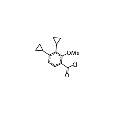 COc1c(C(=O)Cl)ccc(C2CC2)c1C1CC1